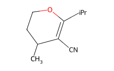 CC(C)C1=C(C#N)C(C)CCO1